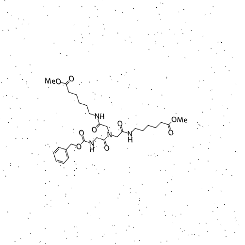 COC(=O)CCCCCNC(=O)CN(CC(=O)NCCCCCC(=O)OC)C(=O)CNC(=O)OCc1ccccc1